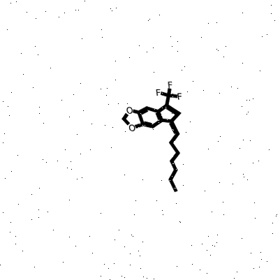 CCCCCC/C=C1/C=C(C(F)(F)F)c2cc3c(cc21)OCO3